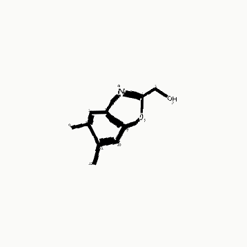 Cc1cc2nc(CO)oc2cc1C